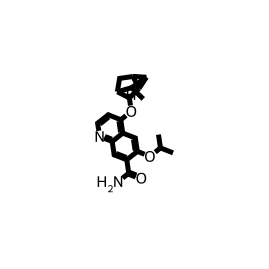 CC(C)Oc1cc2c(OC3C4C5CC3[C@H](C)C54)ccnc2cc1C(N)=O